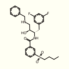 CCCCS(=O)(=O)c1cccc(C(=O)N[C@@H](Cc2cc(F)cc(F)c2)[C@@H](O)CNCc2ccccc2)c1